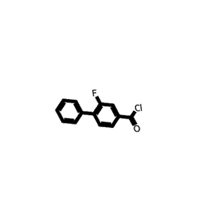 O=C(Cl)c1ccc(-c2ccccc2)c(F)c1